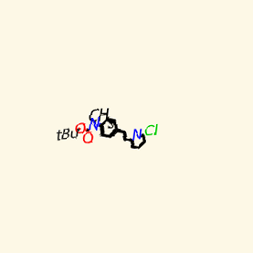 CN(C(=O)OC(C)(C)C)c1ccc(/C=C/c2cccc(Cl)n2)cc1